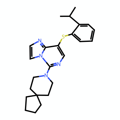 CC(C)c1ccccc1Sc1cnc(N2CCC3(CCCC3)CC2)n2ccnc12